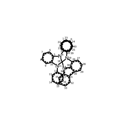 c1ccc(N2c3ccccc3N(c3ccccc3)C23N(c2ccccc2)c2cccc4c5ccccc5n3c24)cc1